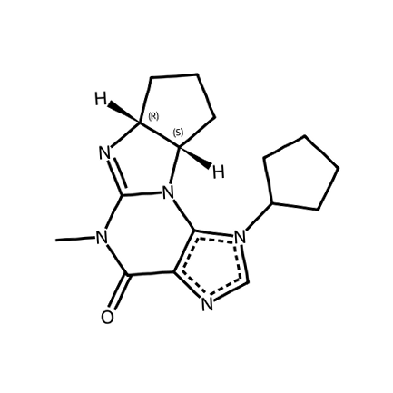 CN1C(=O)c2ncn(C3CCCC3)c2N2C1=N[C@@H]1CCC[C@@H]12